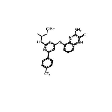 COCC(C)Nc1nc(Oc2cccc3[nH]c(=O)c(N)nc23)cc(-c2ccc(C(F)(F)F)cc2)n1